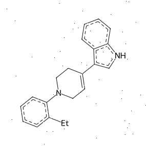 CCc1ccccc1N1CC=C(c2c[nH]c3ccccc23)CC1